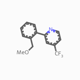 COCc1ccccc1-c1cc(C(F)(F)F)ccn1